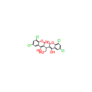 O=c1oc2c(Cl)cc(Cl)cc2c(O)c1C(CO)c1c(O)c2cc(Cl)cc(Cl)c2oc1=O